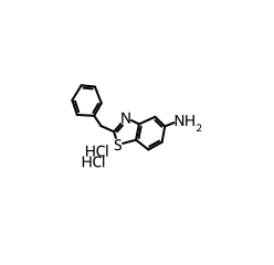 Cl.Cl.Nc1ccc2sc(Cc3ccccc3)nc2c1